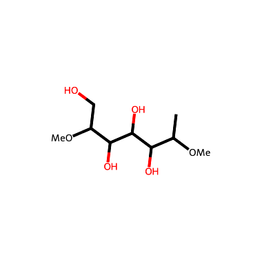 COC(C)C(O)C(O)C(O)C(CO)OC